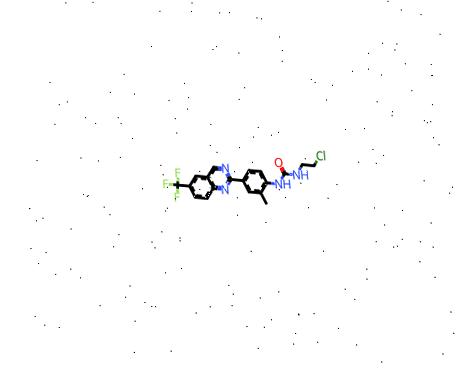 Cc1cc(-c2ncc3cc(C(F)(F)F)ccc3n2)ccc1NC(=O)NCCCl